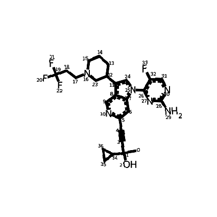 CC(O)(C#Cc1cc2c(cn1)c(C1CCCN(CCC(F)(F)F)C1)cn2-c1nc(N)ncc1F)C1CC1